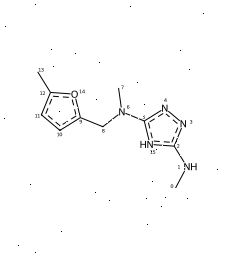 CNc1nnc(N(C)Cc2ccc(C)o2)[nH]1